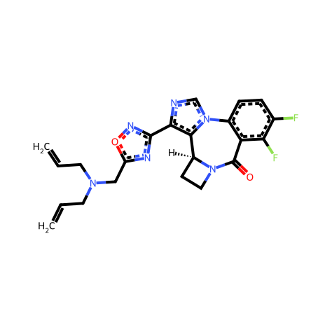 C=CCN(CC=C)Cc1nc(-c2ncn3c2[C@@H]2CCN2C(=O)c2c-3ccc(F)c2F)no1